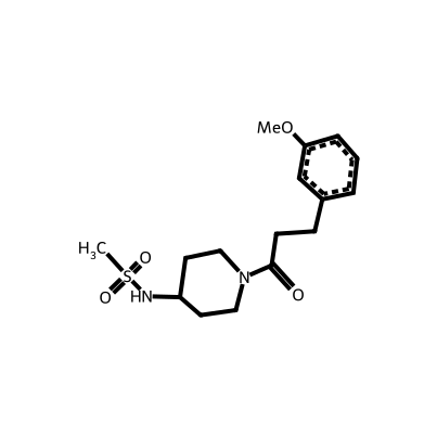 COc1cccc(CCC(=O)N2CCC(NS(C)(=O)=O)CC2)c1